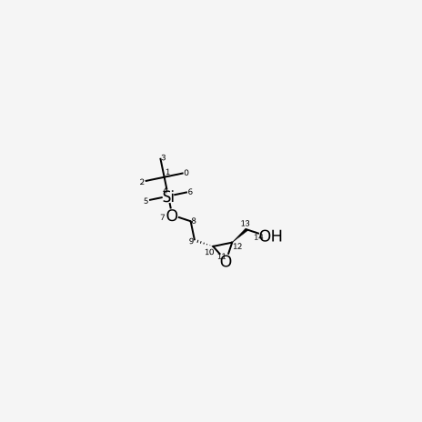 CC(C)(C)[Si](C)(C)OCC[C@H]1O[C@@H]1CO